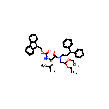 CCOC(CN(CCC(c1ccccc1)c1ccccc1)C(=O)[C@H](CC(C)C)NC(=O)OCC1c2ccccc2-c2ccccc21)OCC